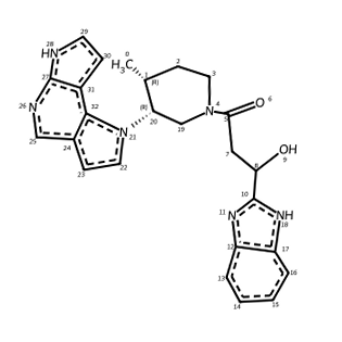 C[C@@H]1CCN(C(=O)CC(O)c2nc3ccccc3[nH]2)C[C@@H]1n1ccc2cnc3[nH]ccc3c21